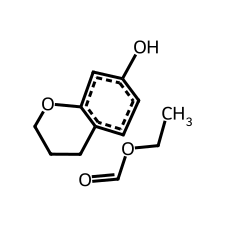 CCOC=O.Oc1ccc2c(c1)OCCC2